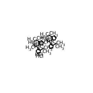 C[Si](C)=[Hf]([C]1=C(C(C)(C)C)C=CC1)[C]1=C(C(C)(C)C)C=CC1.C[Si](C)=[Hf]([C]1=C(C(C)(C)C)C=CC1)[C]1=C(C(C)(C)C)C=CC1.Cl.Cl